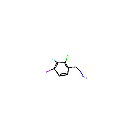 NCc1ccc(I)c(F)c1Cl